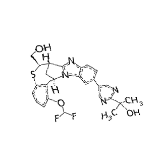 CC(C)(O)c1ncc(-c2ccc3nc4n(c3c2)[C@@H]2C[C@@H]4[C@H](CO)Sc3cccc(OC(F)F)c32)cn1